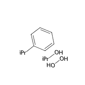 CC(C)O.CC(C)c1ccccc1.OO